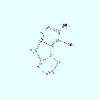 Cn1c2ccccc2c2c(O)c(N)ccc21